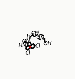 CC(CCNC1(Cc2cccc(Cl)c2)C(=O)Nc2cc(Cl)ccc21)CC(=O)N1CCN(CCO)CC1